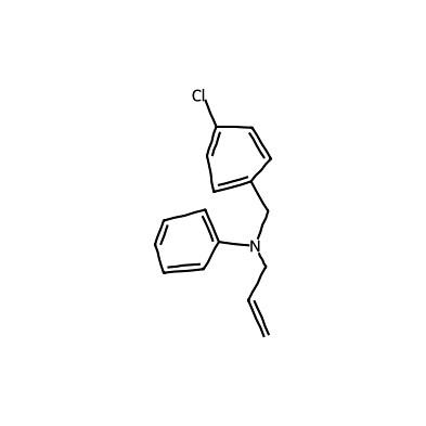 C=CCN(Cc1ccc(Cl)cc1)c1ccccc1